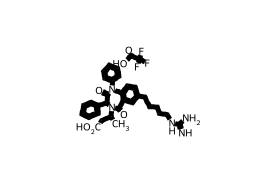 CC(CC(=O)O)N1C(=O)c2cc(CCCCCNC(=N)N)ccc2N(c2ccccc2)C(=O)C1c1ccccc1.O=C(O)C(F)(F)F